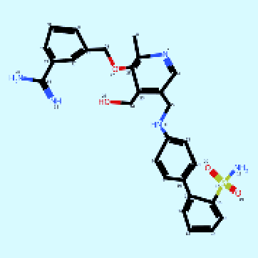 Cc1ncc(CNc2ccc(-c3ccccc3S(N)(=O)=O)cc2)c(CO)c1OCc1cccc(C(=N)N)c1